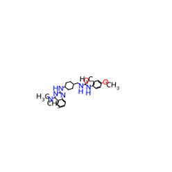 COc1ccc(NC(=O)NCC2CCC(Nc3nc(N(C)C)c4ccccc4n3)CC2)c(C)c1